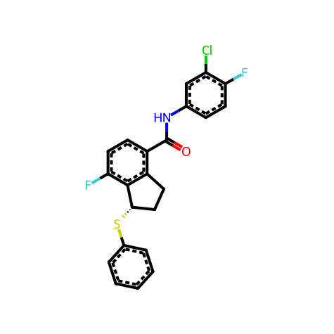 O=C(Nc1ccc(F)c(Cl)c1)c1ccc(F)c2c1CC[C@@H]2Sc1ccccc1